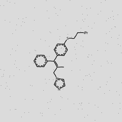 CC(Cn1ccnc1)=C(c1ccccc1)c1ccc(SCCC(C)C)cc1